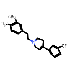 CCCCc1cc(CCN2CC=C(c3cccc(C(F)(F)F)c3)CC2)ccc1C